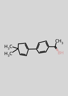 B=C(C)c1ccc(C2=CCC(C)(C)C=C2)cc1